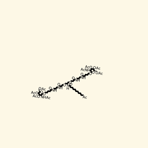 CC(=O)CCCCCCCCCCC(=O)NC(COCCC(=O)NCCCNC(=O)CCCCO[C@@H]1O[C@H](COC(C)=O)[C@H](OC(C)=O)[C@H](OC(C)=O)[C@H]1NC(C)=O)COCCC(=O)NCCCNC(=O)CCCCO[C@@H]1O[C@H](COC(C)=O)[C@H](OC(C)=O)[C@H](OC(C)=O)[C@H]1NC(C)=O